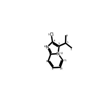 CC(C)c1c(Cl)nc2ccccn12